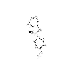 O=Cc1ccc(-c2nc3ccccc3[nH]2)cc1